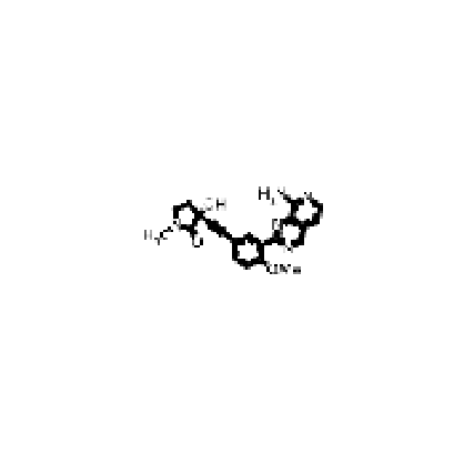 COc1ccc(C#C[C@@]2(O)CCN(C)C2=O)cc1-c1ncc2ccnc(N)c2n1